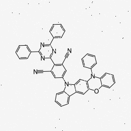 N#Cc1cc(-n2c3ccccc3c3cc4c(cc32)N(c2ccccc2)c2ccccc2O4)cc(C#N)c1-c1nc(-c2ccccc2)nc(-c2ccccc2)n1